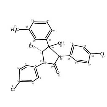 CC[C@H]1N(c2ccc(Cl)cc2)C(=O)N(c2ccc(Cl)cc2)C1(O)c1cccc(C)c1